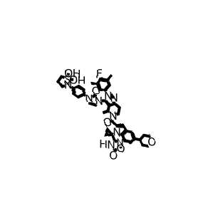 Cc1cc(-n2nc3c(c2-n2ccn(-c4ccc(N5CCCS5(O)O)cc4)c2=O)C(C)N(C(=O)c2cc4cc(C5CCOCC5)ccc4n2[C@@]2(c4noc(=O)[nH]4)C[C@@H]2C)CC3)cc(C)c1F